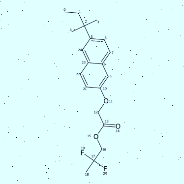 CCC(C)(C)c1ccc2cc(OCC(=O)OCC(C)(F)F)ccc2c1